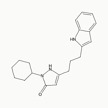 O=c1cc(CCCc2cc3ccccc3[nH]2)[nH]n1C1CCCCC1